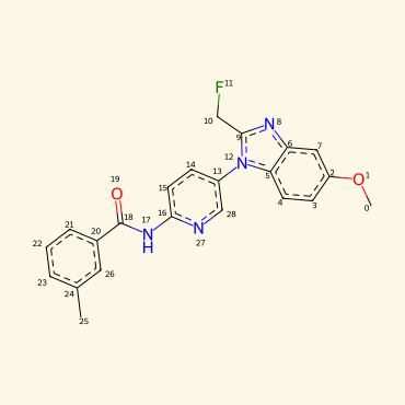 COc1ccc2c(c1)nc(CF)n2-c1ccc(NC(=O)c2cccc(C)c2)nc1